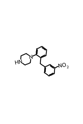 O=[N+]([O-])c1cccc(Cc2ccccc2N2CCNCC2)c1